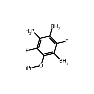 Bc1c(F)c(B)c(OC(C)C)c(F)c1P